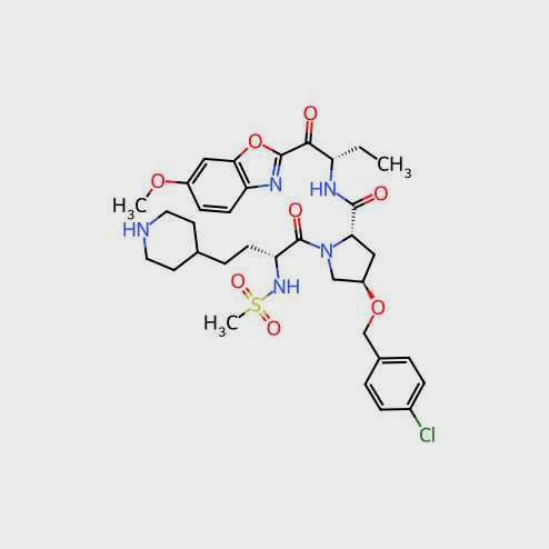 CC[C@H](NC(=O)[C@@H]1C[C@@H](OCc2ccc(Cl)cc2)CN1C(=O)[C@@H](CCC1CCNCC1)NS(C)(=O)=O)C(=O)c1nc2ccc(OC)cc2o1